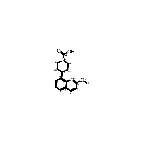 COc1ccc2cccc(C3CCN(C(=O)O)CC3)c2n1